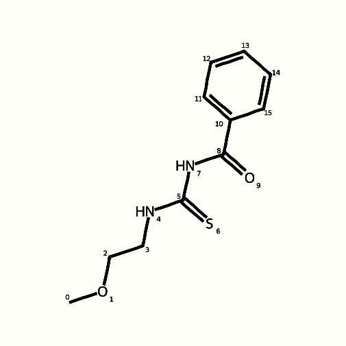 COCCNC(=S)NC(=O)c1ccccc1